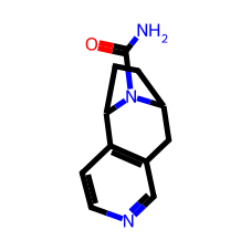 NC(=O)N1C2CCC1c1ccncc1C2